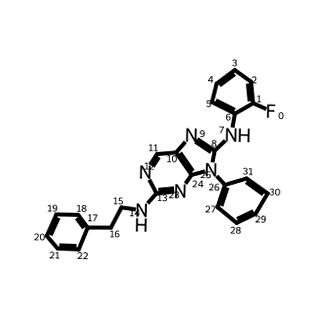 Fc1ccccc1Nc1nc2cnc(NCCc3ccccc3)nc2n1-c1ccccc1